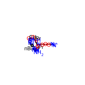 CCCCc1nc2c(N)nnc(OC(C)C)c2n1Cc1ccc(CN2CCN(C(=O)[C@H](C)NC(=O)[C@@H](NC(=O)CCCC(=O)NCCOCCOCCOCCN=[N+]=[N-])C(C)C)CC2)cc1